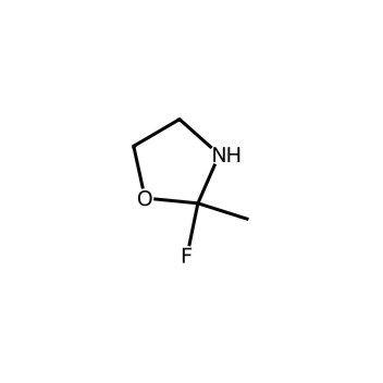 CC1(F)NCCO1